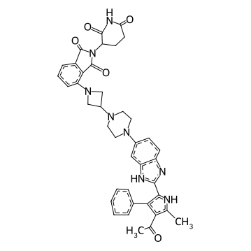 CC(=O)c1c(C)[nH]c(-c2nc3ccc(N4CCN(C5CN(c6cccc7c6C(=O)N(C6CCC(=O)NC6=O)C7=O)C5)CC4)cc3[nH]2)c1-c1ccccc1